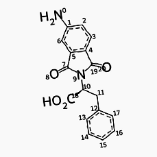 Nc1ccc2c(c1)C(=O)N([C@@H](Cc1ccccc1)C(=O)O)C2=O